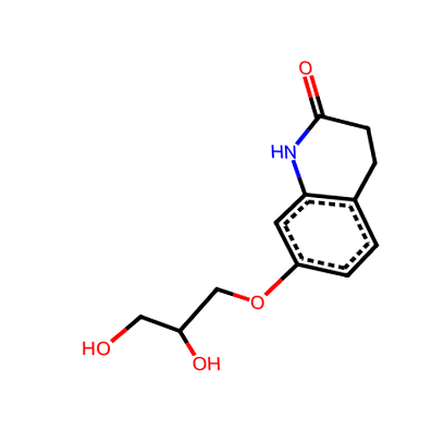 O=C1CCc2ccc(OCC(O)CO)cc2N1